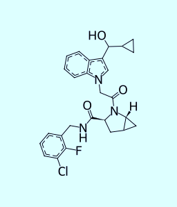 O=C(NCc1cccc(Cl)c1F)[C@@H]1CC2C[C@H]2N1C(=O)Cn1cc(C(O)C2CC2)c2ccccc21